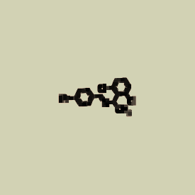 CC(C)c1ccc(C=NC(C)c2c(Cl)cccc2Cl)cc1